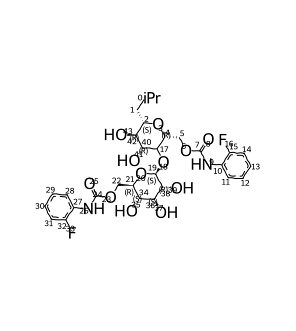 CC(C)C[C@@H]1O[C@H](COC(=O)Nc2ccccc2F)C(O[C@@H]2O[C@H](COC(=O)Nc3ccccc3F)[C@@H](O)[C@H](O)[C@H]2O)[C@H](O)[C@H]1O